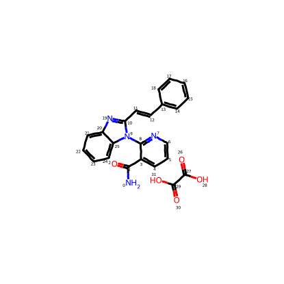 NC(=O)c1cccnc1-n1c(C=Cc2ccccc2)nc2ccccc21.O=C(O)C(=O)O